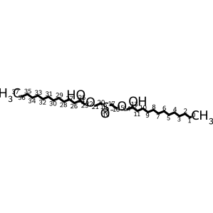 CCCCCCCCCCCCC(O)COCC[S+]([O-])CCOCC(O)CCCCCCCCCCCC